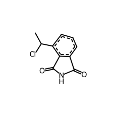 CC(Cl)c1cccc2c1C(=O)NC2=O